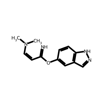 CN(C)/C=C\C(=N)Oc1ccc2[nH]ncc2c1